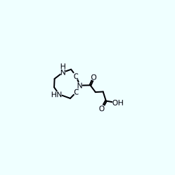 O=C(O)CCC(=O)N1CCNCCNCC1